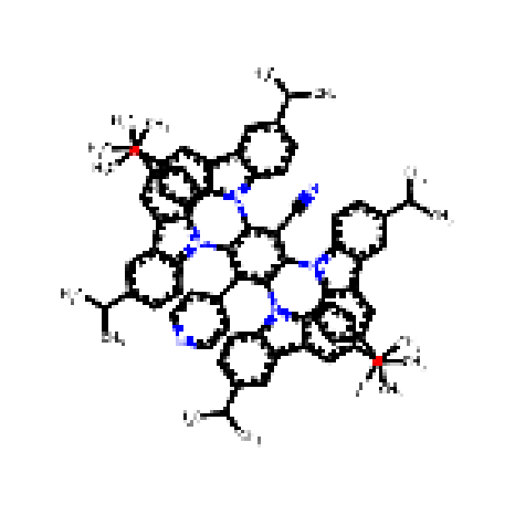 CC(C)c1ccc2c(c1)c1cc(C(C)C)ccc1n2-c1c(C#N)c(-n2c3ccc(C(C)C)cc3c3cc(C(C)C)ccc32)c(-n2c3ccc(C(C)C)cc3c3cc(C(C)C)ccc32)c(-c2ccncc2)c1-n1c2ccc(C(C)C)cc2c2cc(C(C)C)ccc21